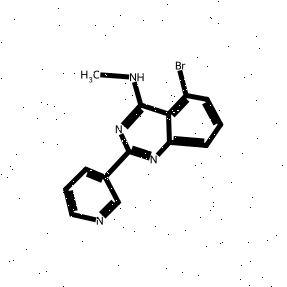 CNc1nc(-c2cccnc2)nc2cccc(Br)c12